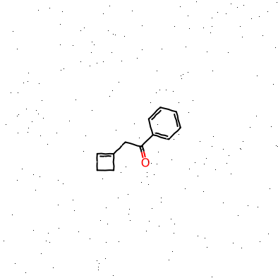 O=C(CC1=CCC1)c1ccccc1